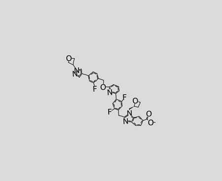 COC(=O)c1ccc2nc(Cc3cc(F)c(-c4cccc(OCc5ccc(-c6cnn(C7COC7)c6)cc5F)n4)cc3F)n(C[C@@H]3CCO3)c2c1